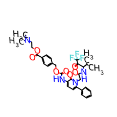 CC(C)C(NC(=O)Cn1c(-c2ccccc2)ccc(NC(=O)OCc2ccc(C(=O)OCCN(C)C)cc2)c1=O)C(=O)C(F)(F)F